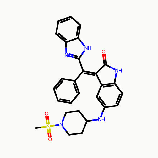 CS(=O)(=O)N1CCC(Nc2ccc3c(c2)C(=C(c2ccccc2)c2nc4ccccc4[nH]2)C(=O)N3)CC1